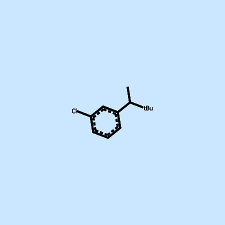 CC(c1cccc(Cl)c1)C(C)(C)C